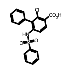 O=C(O)c1ccc(NS(=O)(=O)c2ccccc2)c(-c2ccccc2)c1Cl